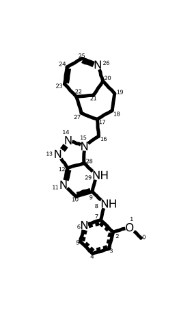 COc1cccnc1NC1=CN=C2N=NN(CC3CCC4CC(C=CC=N4)C3)C2N1